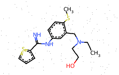 CCN(CCO)Cc1cc(NC(=N)c2cccs2)ccc1SC